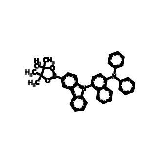 CC1(C)OB(c2ccc3c(c2)c2ccccc2n3-c2ccc(N(c3ccccc3)c3ccccc3)c3ccccc23)OC1(C)C